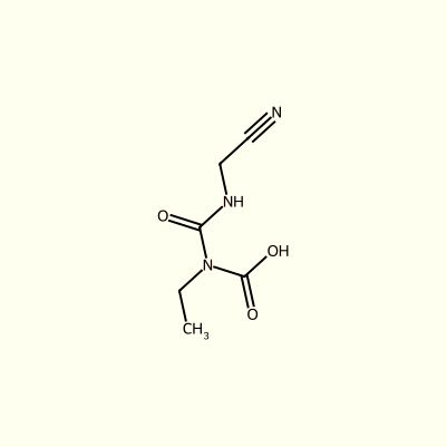 CCN(C(=O)O)C(=O)NCC#N